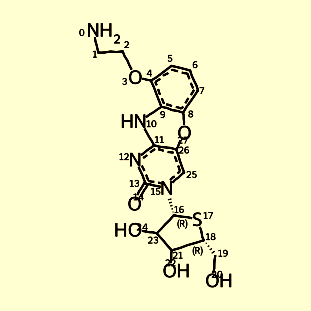 NCCOc1cccc2c1Nc1nc(=O)n([C@@H]3S[C@H](CO)C(O)C3O)cc1O2